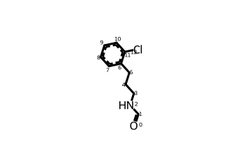 O=CNCCCc1ccccc1Cl